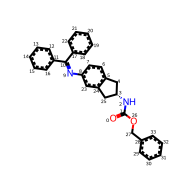 O=C(N[C@H]1Cc2ccc(N=C(c3ccccc3)c3ccccc3)cc2C1)OCc1ccccc1